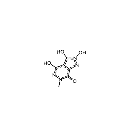 Cn1nc(O)c2c(O)n(O)nc2c1=O